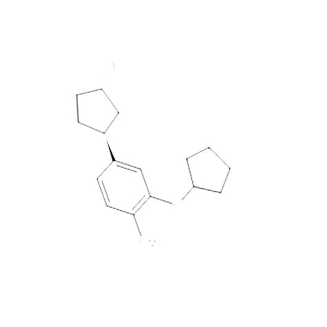 COc1ccc([C@H]2CC[C@H](O)C2)cc1OC1CCCC1